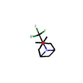 CC(C)N1C2CC1CC(C(F)(F)F)C2